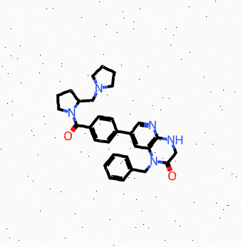 O=C1CNc2ncc(-c3ccc(C(=O)N4CCCC4CN4CCCC4)cc3)cc2N1Cc1ccccc1